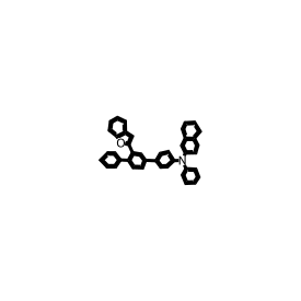 c1ccc(-c2ccc(-c3ccc(N(c4ccccc4)c4ccc5ccccc5c4)cc3)cc2-c2cc3ccccc3o2)cc1